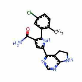 Cc1ccc(Cl)cc1-c1[nH]c(-c2ncnc3c2CCN3)cc1C(N)=O